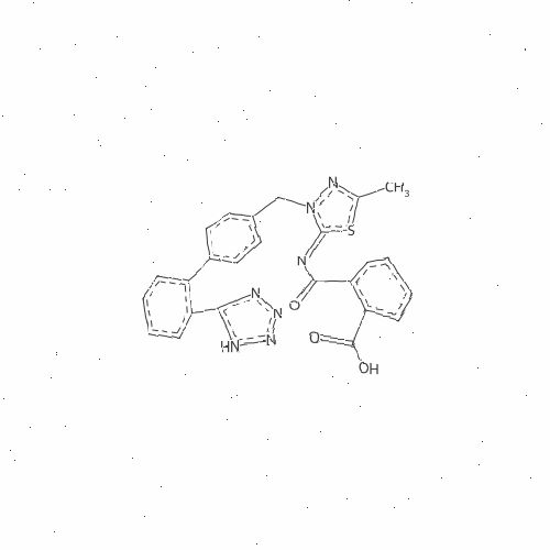 Cc1nn(Cc2ccc(-c3ccccc3-c3nnn[nH]3)cc2)c(=NC(=O)c2ccccc2C(=O)O)s1